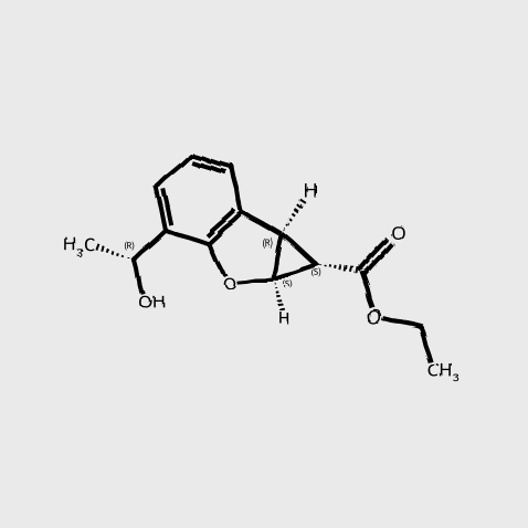 CCOC(=O)[C@@H]1[C@H]2Oc3c(cccc3[C@@H](C)O)[C@H]21